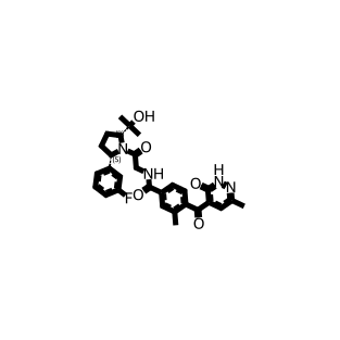 Cc1cc(C(=O)c2ccc(C(=O)NCC(=O)N3[C@H](c4cccc(F)c4)CC[C@@H]3C(C)(C)O)cc2C)c(=O)[nH]n1